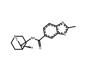 Cc1nc2ccc(C(=O)N[C@H]3CN4CCC3CC4)cc2s1